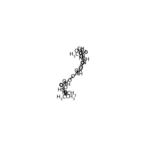 CC(=O)c1c(C)c2cnc(Nc3ccc(N4CCN(CC(=O)NCCOCCOCCC(=O)Nc5ccccc5C(=O)Nc5cc(C)n(C(C)C)n5)CC4)cn3)nc2n(C2CCCC2)c1=O